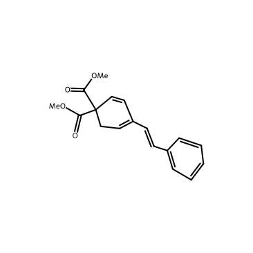 COC(=O)C1(C(=O)OC)C=CC(C=Cc2ccccc2)=CC1